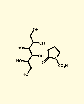 O=C(O)N1CCCC1=O.OCC(O)C(O)C(O)C(O)CO